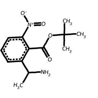 CC(N)c1cccc([N+](=O)[O-])c1C(=O)OC(C)(C)C